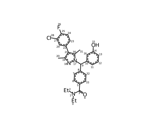 CCN(CC)C(=O)c1ccc(C(c2cccc(O)c2)n2nc(C)c(-c3ccc(F)c(Cl)c3)c2C)cc1